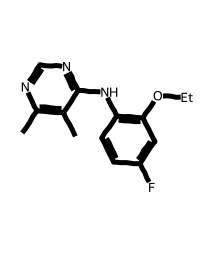 CCOc1cc(F)ccc1Nc1ncnc(C)c1C